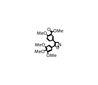 COC(=O)c1cc(-c2cnoc2-c2cc(OC)c(OC)c(OC)c2)ccc1OC